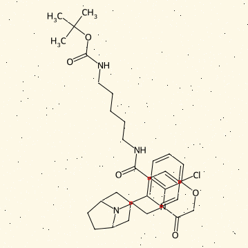 CC(C)(C)OC(=O)NCCCCCNC(=O)c1cc(Cl)ccc1C1CC2CCC(C1)N2CCN1C(=O)COc2ccccc21